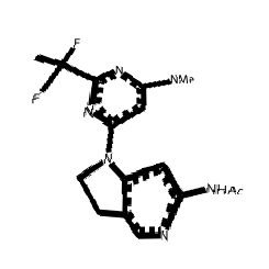 CNc1cc(N2CCc3cnc(NC(C)=O)cc32)nc(C(C)(F)F)n1